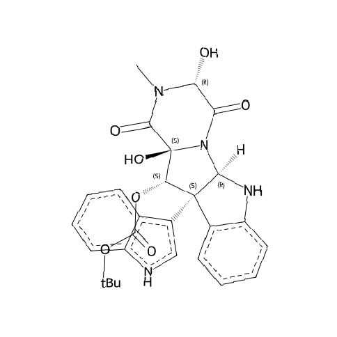 CN1C(=O)[C@@]2(O)[C@@H](OC(=O)OC(C)(C)C)[C@]3(c4c[nH]c5ccccc45)c4ccccc4N[C@@H]3N2C(=O)[C@H]1O